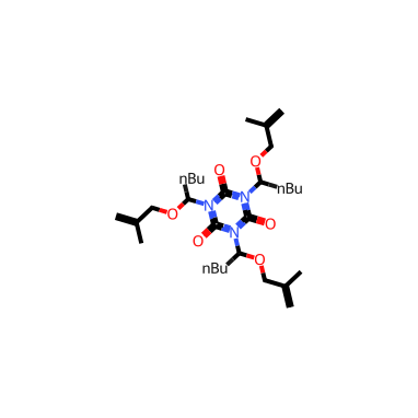 C=C(C)COC(CCCC)n1c(=O)n(C(CCCC)OCC(=C)C)c(=O)n(C(CCCC)OCC(=C)C)c1=O